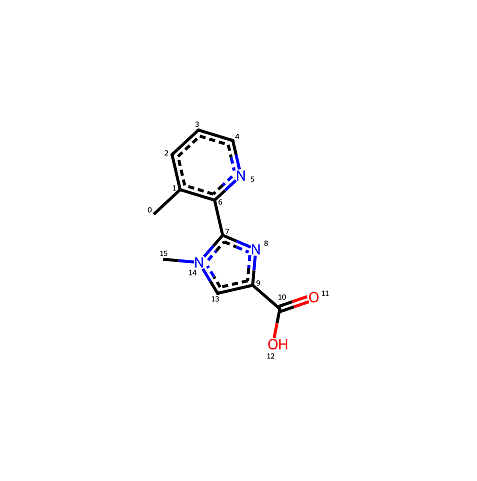 Cc1cccnc1-c1nc(C(=O)O)cn1C